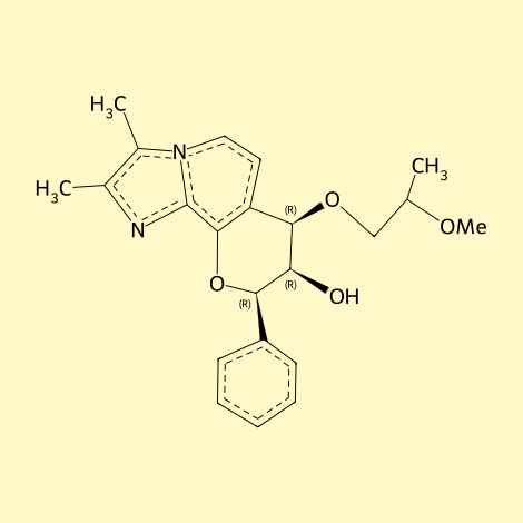 COC(C)CO[C@@H]1c2ccn3c(C)c(C)nc3c2O[C@H](c2ccccc2)[C@@H]1O